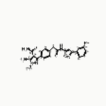 CC(C)n1nc(-c2ccc(CC(=O)Nc3cc(-c4cccc(F)c4)no3)cc2)c(C(N)=O)c1N